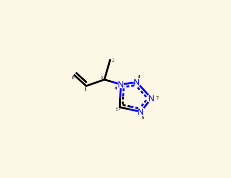 C=CC(C)n1[c]nnn1